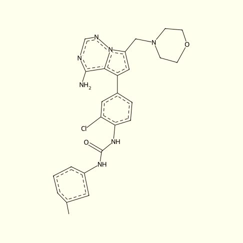 Cc1cccc(NC(=O)Nc2ccc(-c3cc(CN4CCOCC4)n4ncnc(N)c34)cc2Cl)c1